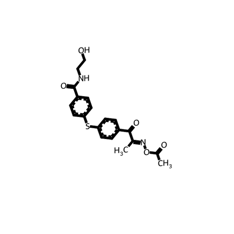 CC(=O)O/N=C(\C)C(=O)c1ccc(Sc2ccc(C(=O)NCCO)cc2)cc1